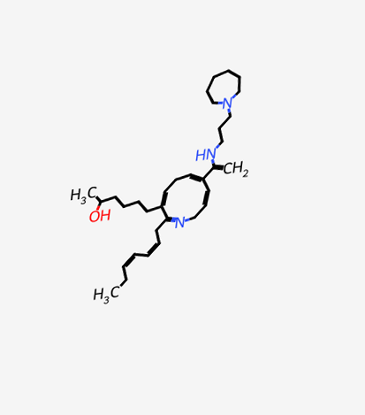 C=C(NCCCN1CCCCCC1)C1=C/C/C=C(CCCCC(C)O)\C(C/C=C\C=C/CC)=N/C/C=C\1